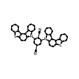 N#Cc1cc(-n2c3ccccc3c3c4c(ccc32)sc2ccccc24)c(C#N)c(-n2c3ccccc3c3c4c(ccc32)sc2ccccc24)c1